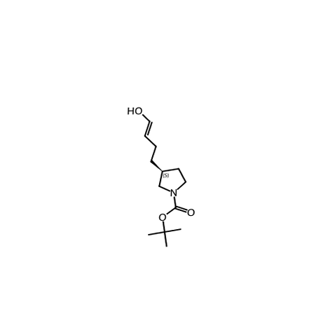 CC(C)(C)OC(=O)N1CC[C@H](CCC=CO)C1